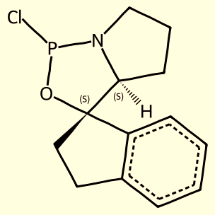 ClP1O[C@]2(CCc3ccccc32)[C@@H]2CCCN21